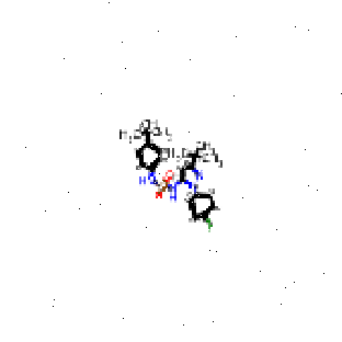 CC(C)(C)c1ccc(NS(=O)(=O)Nc2cc(C(C)(C)C)nn2-c2ccc(F)cc2)cc1